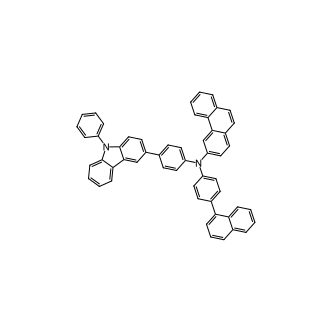 c1ccc(-n2c3ccccc3c3cc(-c4ccc(N(c5ccc(-c6cccc7ccccc67)cc5)c5ccc6ccc7ccccc7c6c5)cc4)ccc32)cc1